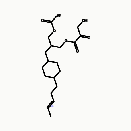 C=C(CO)C(=O)OCC(COC(=O)C(C)C)CC1CCC(CC/C=C/C)CC1